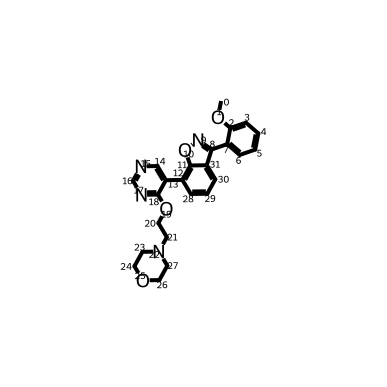 COc1ccccc1-c1noc2c(-c3cncnc3OCCN3CCOCC3)cccc12